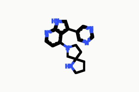 c1ncc(-c2c[nH]c3nccc(N4CCC5(CCCN5)C4)c23)cn1